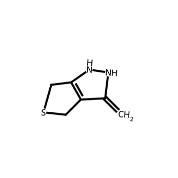 C=C1NNC2=C1CSC2